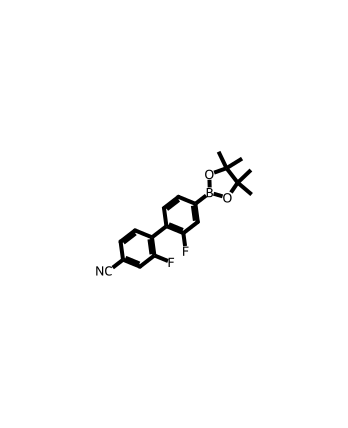 CC1(C)OB(c2ccc(-c3ccc(C#N)cc3F)c(F)c2)OC1(C)C